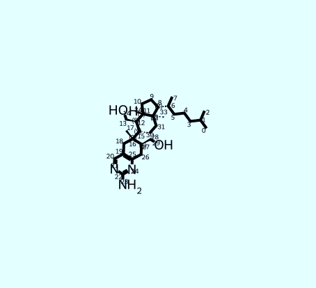 CC(C)CCCC(C)[C@H]1CC[C@H]2[C@H](CO)[C@@H]([C@@]3(C)Cc4cnc(N)nc4C[C@@H]3CO)CC[C@]12C